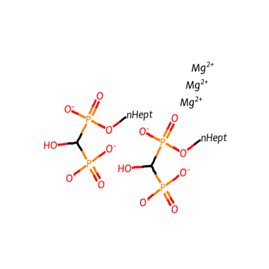 CCCCCCCOP(=O)([O-])C(O)P(=O)([O-])[O-].CCCCCCCOP(=O)([O-])C(O)P(=O)([O-])[O-].[Mg+2].[Mg+2].[Mg+2]